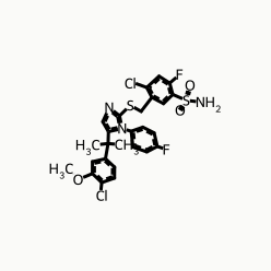 COc1cc(C(C)(C)c2cnc(SCc3cc(S(N)(=O)=O)c(F)cc3Cl)n2-c2ccc(F)cc2)ccc1Cl